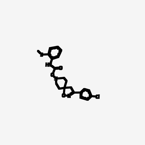 CSc1ccccc1NC(=O)ON1CCC2(CC1)CC(c1ccc(Cl)cc1)=NO2